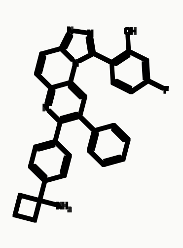 NC1(c2ccc(-c3nc4ccc5nnc(-c6ccc(F)cc6O)n5c4cc3-c3ccccc3)cc2)CCC1